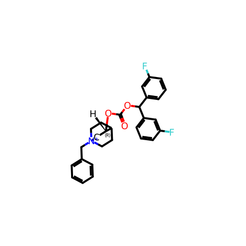 O=C(OC(c1cccc(F)c1)c1cccc(F)c1)O[C@H]1C[N+]2(Cc3ccccc3)CCC1CC2